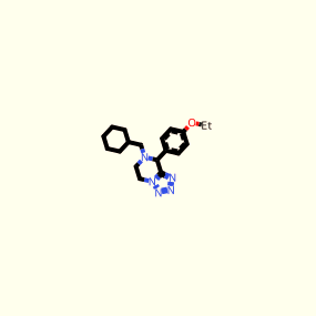 CCOc1ccc(C2c3nnnn3CCN2CC2CCCCC2)cc1